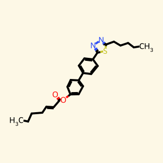 CCCCC=CC(=O)Oc1ccc(-c2ccc(-c3nnc(CCCCC)s3)cc2)cc1